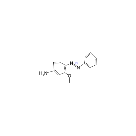 COc1cc(N)ccc1/N=N/c1ccccc1